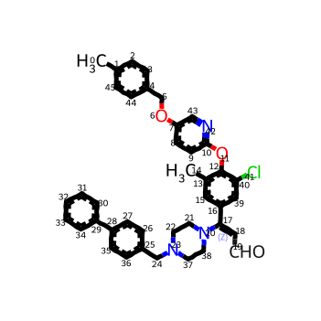 Cc1ccc(COc2ccc(Oc3c(C)cc(/C(=C/C=O)N4CCN(Cc5ccc(-c6ccccc6)cc5)CC4)cc3Cl)nc2)cc1